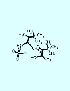 CC(O)C(C)[P+](C)(C)C.CC(O)C(C)[P+](C)(C)C.O=S(=O)([O-])[O-]